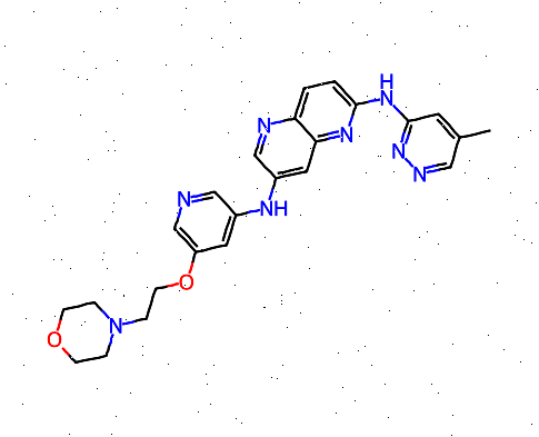 Cc1cnnc(Nc2ccc3ncc(Nc4cncc(OCCN5CCOCC5)c4)cc3n2)c1